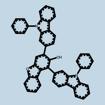 Oc1c(-c2ccc3c4ccccc4n(-c4ccccc4)c3c2)cc2oc3ccccc3c2c1-c1ccc2c3ccccc3n(-c3ccccc3)c2c1